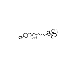 O=C(O)C(Cl)(Cl)CCCCCCCCC(O)Cc1ccc(Cl)cc1